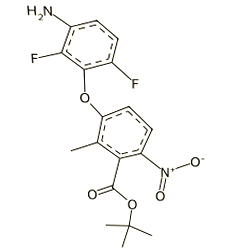 Cc1c(Oc2c(F)ccc(N)c2F)ccc([N+](=O)[O-])c1C(=O)OC(C)(C)C